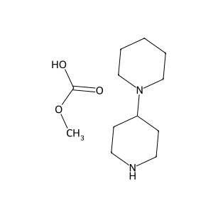 C1CCN(C2CCNCC2)CC1.COC(=O)O